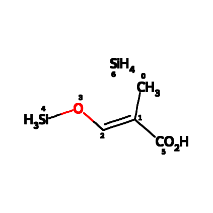 CC(=CO[SiH3])C(=O)O.[SiH4]